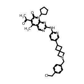 CC(=O)c1c(C)c2cnc(Nc3ccc(C4CC5(C4)CN(Cc4ccc(CCl)cc4)C5)cn3)nc2n(C2CCCC2)c1=O